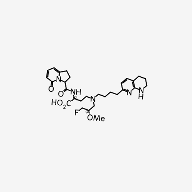 CO[C@H](CF)CN(CCCCc1ccc2c(n1)NCCC2)CC[C@H](NC(=O)C1CCc2cccc(=O)n21)C(=O)O